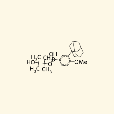 COc1ccc(B(O)OC(C)(C)C(C)(C)O)cc1C12CC3CC(CC(C3)C1)C2